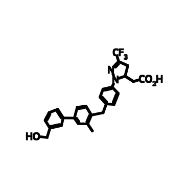 Cc1cc(-c2cccc(CO)c2)ccc1Cc1ccc(N2N=C(C(F)(F)F)CC2CC(=O)O)cc1